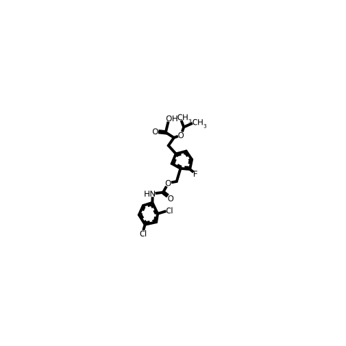 CC(C)OC(Cc1ccc(F)c(COC(=O)Nc2ccc(Cl)cc2Cl)c1)C(=O)O